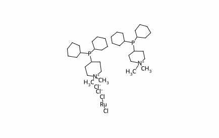 C[N+]1(C)CCC(P(C2CCCCC2)C2CCCCC2)CC1.C[N+]1(C)CCC(P(C2CCCCC2)C2CCCCC2)CC1.[Cl-].[Cl-].[Cl][Ru][Cl]